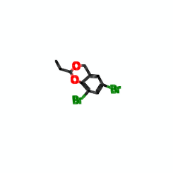 CCC1OCc2cc(Br)cc(Br)c2O1